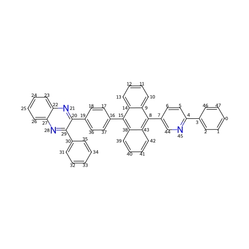 c1ccc(-c2ccc(-c3c4ccccc4c(-c4ccc(-c5nc6ccccc6nc5-c5ccccc5)cc4)c4ccccc34)cn2)cc1